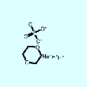 C1COCCO1.O=P([O-])([O-])[O-].[H+].[H+].[Na+]